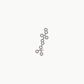 c1ccc(-c2oc3cc(-c4ccc5cc(-c6c7ccccc7c(-c7ccc8ccccc8c7)c7ccccc67)ccc5c4)ccc3c2-c2ccccc2)cc1